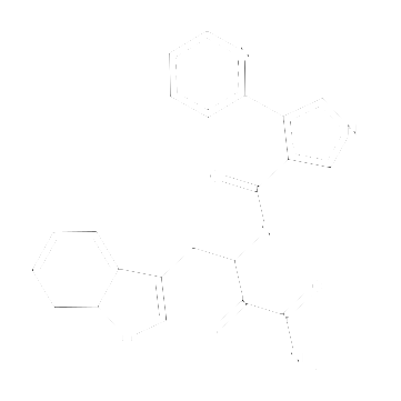 NC(=O)C(=O)C(CC1=COC2CC=CC=C12)NC(=O)c1c[nH]cc1-c1ccccn1